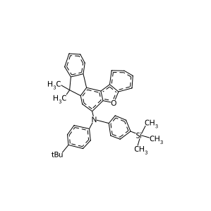 CC(C)(C)c1ccc(N(c2ccc([Si](C)(C)C)cc2)c2cc3c(c4c2oc2ccccc24)-c2ccccc2C3(C)C)cc1